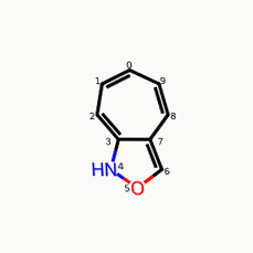 C1=CC=C2NOC=C2C=C1